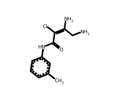 Cc1cccc(NC(=O)/C(Cl)=C(/N)CN)c1